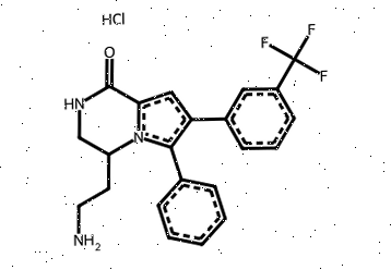 Cl.NCCC1CNC(=O)c2cc(-c3cccc(C(F)(F)F)c3)c(-c3ccccc3)n21